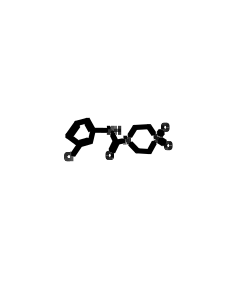 O=C(Nc1cccc(Cl)c1)N1CCS(=O)(=O)CC1